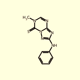 Cn1cnc2nc(Nc3ccccc3)nn2c1=S